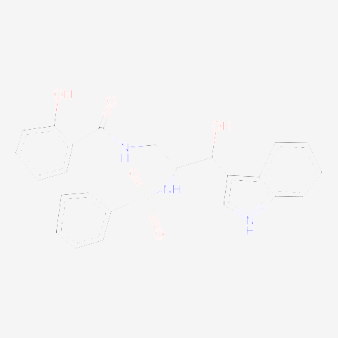 O=C(NCC(NS(=O)(=O)c1ccccc1)C(O)c1c[nH]c2ccccc12)c1ccccc1O